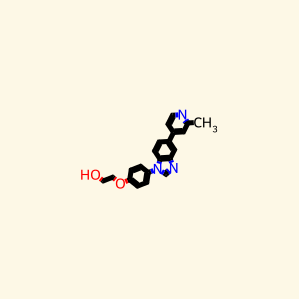 Cc1cc(-c2ccc3c(c2)ncn3-c2ccc(OCCO)cc2)ccn1